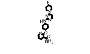 NC(=O)c1cccnc1O[C@H]1CC[C@H](Nc2nccc(N3CCC(F)CC3)n2)CC1